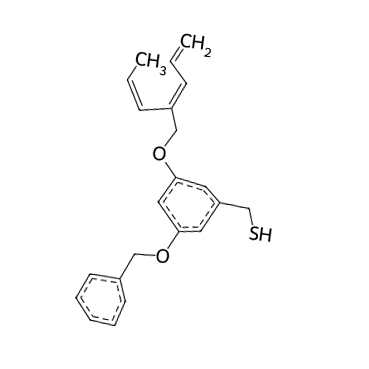 C=C/C=C(\C=C/C)COc1cc(CS)cc(OCc2ccccc2)c1